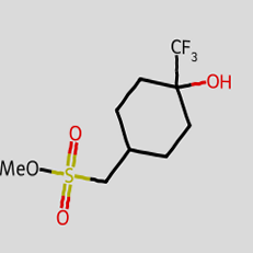 COS(=O)(=O)CC1CCC(O)(C(F)(F)F)CC1